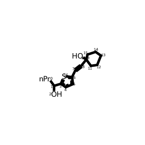 CCCC(O)c1ccc(C#CC2(O)CCCCC2)s1